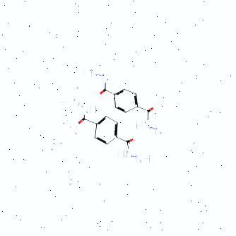 NNC(=O)c1ccc(C(=O)NN)cc1.NNC(=O)c1ccc(C(=O)NN)cc1